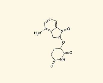 Nc1cccc2c1CN(OC1CCC(=O)NC1=O)C2=O